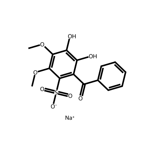 COc1c(O)c(O)c(C(=O)c2ccccc2)c(S(=O)(=O)[O-])c1OC.[Na+]